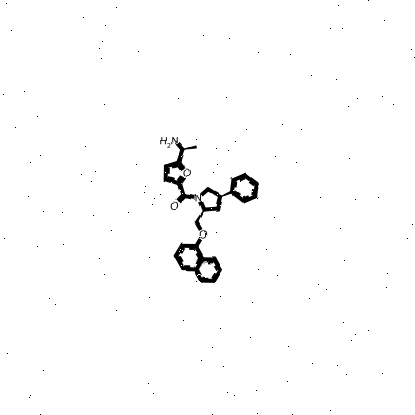 C[C@H](N)c1ccc(C(=O)N2C[C@@H](c3ccccc3)C[C@H]2COc2cccc3ccccc23)o1